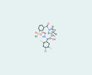 CCS(=O)(=O)c1cccc(C(=O)N2[C@@H](C(=O)N[C@@H](c3cc(F)c(Cl)cc3F)[C@H](C)O)C[C@H]3C[C@H]32)c1